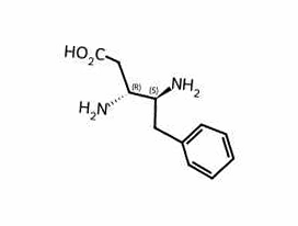 N[C@H](CC(=O)O)[C@@H](N)Cc1ccccc1